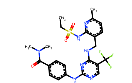 CCS(=O)(=O)Nc1nc(C)ccc1CNc1nc(Nc2ccc(C(=O)N(C)C)cc2)ncc1C(F)(F)F